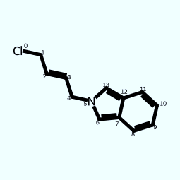 ClCC=CCn1cc2ccccc2c1